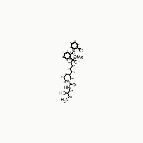 CCc1ccccc1Oc1ccccc1C(O)(CCCC[C@@H]1CCCN(C(=O)NC[C@@H](O)CN)C1)OC